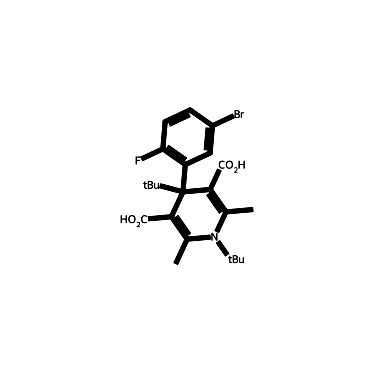 CC1=C(C(=O)O)C(c2cc(Br)ccc2F)(C(C)(C)C)C(C(=O)O)=C(C)N1C(C)(C)C